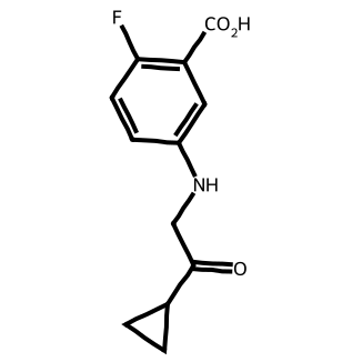 O=C(O)c1cc(NCC(=O)C2CC2)ccc1F